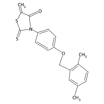 C=C1SC(=S)N(c2ccc(OCc3cc(C)ccc3C)cc2)C1=O